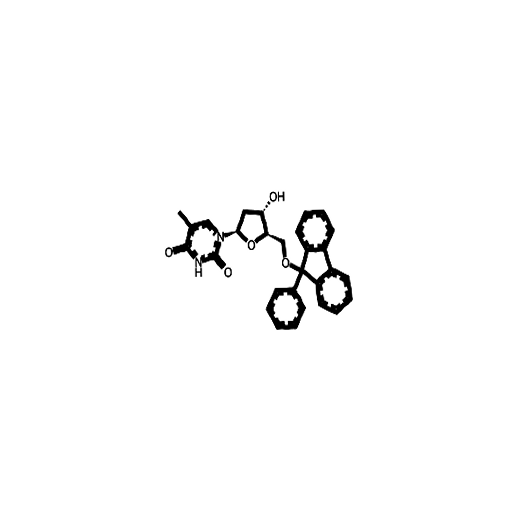 Cc1cn([C@H]2C[C@H](O)[C@@H](COC3(c4ccccc4)c4ccccc4-c4ccccc43)O2)c(=O)[nH]c1=O